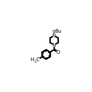 CCCCN1CCN(C(=O)c2ccc(C)cc2)CC1